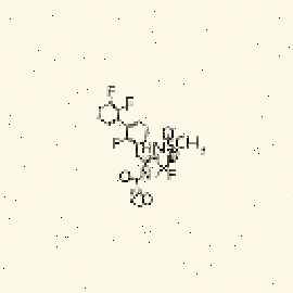 CS(=O)(=O)N[C@H]1[C@H](Cc2cccc(-c3cccc(F)c3F)c2F)N(C(=O)[C@@H]2CCO2)CC1(F)F